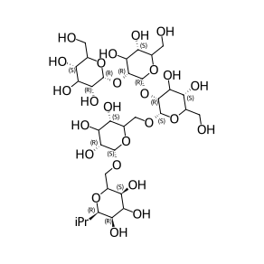 CC(C)[C@H]1OC(CO[C@H]2OC(CO[C@H]3OC(CO)[C@@H](O)C(O)[C@H]3O[C@H]3OC(CO)[C@@H](O)C(O)[C@H]3O[C@H]3OC(CO)[C@@H](O)C(O)[C@H]3O)[C@@H](O)C(O)[C@H]2O)[C@@H](O)C(O)[C@H]1O